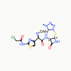 CON=C(C(=O)N[C@@H]1C(=O)N[C@@H]1SN1CN(C)N=N1)c1csc(NC(=O)CCl)n1